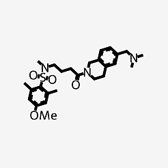 COc1cc(C)c(S(=O)(=O)N(C)CCCC(=O)N2CCc3cc(CN(C)C)ccc3C2)c(C)c1